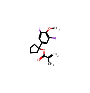 C=C(C)C(=O)OC1(c2cc(I)c(OC)c(I)c2)CCCC1